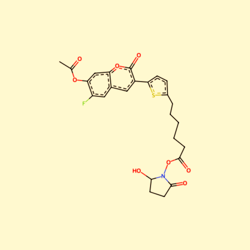 CC(=O)Oc1cc2oc(=O)c(-c3ccc(CCCCCC(=O)ON4C(=O)CCC4O)s3)cc2cc1F